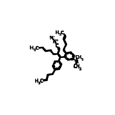 CC=CCCc1ccccc1C(=C(C=C=[N+]=[N-])CCCCC)c1ccc(CCCC)cc1.[CH3][Ni][CH3]